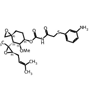 CO[C@H]1[C@H](C2(C)O[C@@H]2CC=C(C)C)[C@]2(CC[C@H]1OC(=O)NC(=O)CSc1cccc(N)c1)CO2